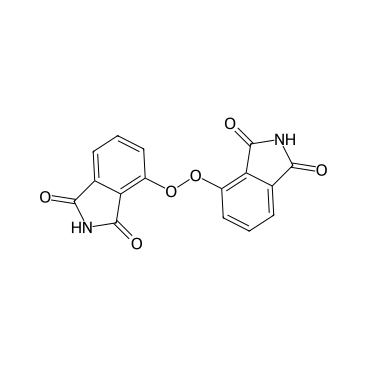 O=C1NC(=O)c2c(OOc3cccc4c3C(=O)NC4=O)cccc21